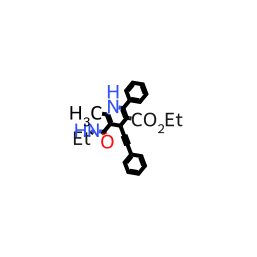 CCNC(=O)C1=C(C)NC(c2ccccc2)=C(C(=O)OCC)C1C#Cc1ccccc1